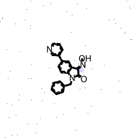 O=C1/C(=N/O)c2cc(-c3cccnc3)ccc2N1Cc1ccccc1